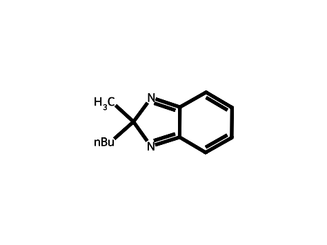 CCCCC1(C)N=c2ccccc2=N1